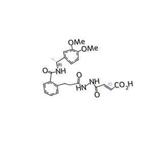 COc1ccc([C@@H](C)NC(=O)c2ccccc2CCC(=O)NNC(=O)/C=C/C(=O)O)cc1OC